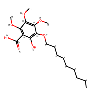 CCCCCCCCCOc1c(O)c(C(=O)O)c(OC)c(OC)c1OC